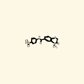 CN1C(=O)CSc2ccc(C(=O)Nc3ccc([SH](=O)=O)cc3)cc21